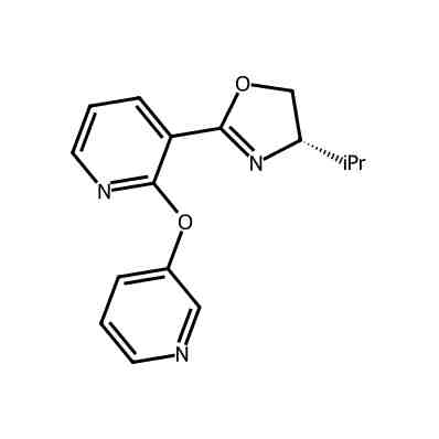 CC(C)[C@H]1COC(c2cccnc2Oc2cccnc2)=N1